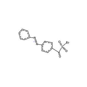 C[CH]S(=O)(=O)C(=O)c1ccc(/N=N/c2ccccc2)cc1